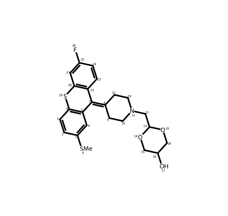 CSc1ccc2c(c1)C(=C1CCN(CC3OCC(O)CO3)CC1)c1ccc(F)cc1S2